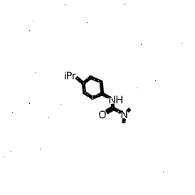 CC(C)C1CCC(NC(=O)N(C)C)CC1